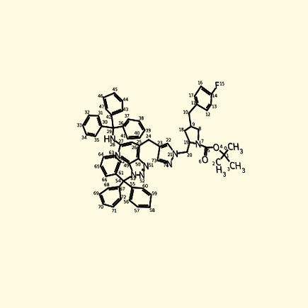 CC(C)(C)OC(=O)N1CC(Cc2ccc(F)cc2)CC1Cn1cc(Cc2cc(NC(c3ccccc3)(c3ccccc3)c3ccccc3)nc3c2nnn3C(c2ccccc2)(c2ccccc2)c2ccccc2)cn1